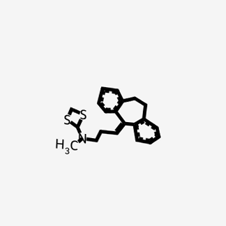 CN(CCC=C1c2ccccc2CCc2ccccc21)C1SCS1